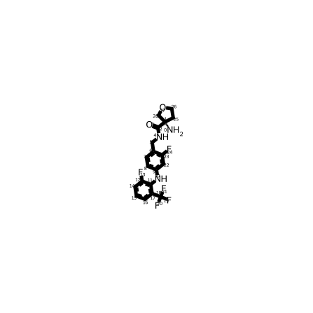 N[C@@]1(C(=O)NCc2ccc(Nc3c(F)cccc3C(F)(F)F)cc2F)CCOC1